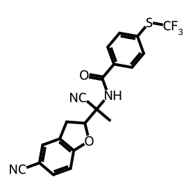 CC(C#N)(NC(=O)c1ccc(SC(F)(F)F)cc1)C1Cc2cc(C#N)ccc2O1